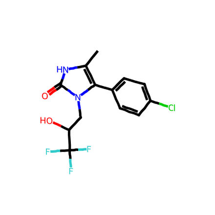 Cc1[nH]c(=O)n(CC(O)C(F)(F)F)c1-c1ccc(Cl)cc1